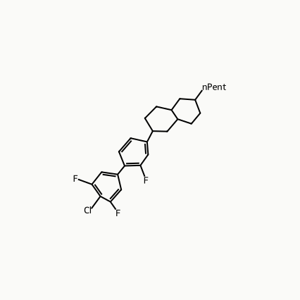 CCCCCC1CCC2CC(c3ccc(-c4cc(F)c(Cl)c(F)c4)c(F)c3)CCC2C1